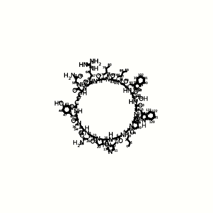 CCCC[C@@H]1NC(=O)[C@H](Cc2cnc[nH]2)NC(=O)C2CCCN2C(=O)[C@H](CC(N)=O)NC(=O)[C@H](C)N(C)C(=O)[C@H](Cc2ccc(O)cc2)NC(=O)CSCC(C(=O)NCC(N)=O)NC(=O)[C@H](CCCNC(=N)N)NC(=O)[C@H](CCCC)N(C)C(=O)[C@H](CCCC)N(C)C(=O)[C@H](Cc2csc3ccccc23)NC(=O)[C@H](CO)NC(=O)[C@H](Cc2c[nH]c3ccccc23)NC(=O)[C@H]2CCCN2C1=O